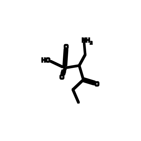 CCC(=O)C(CN)S(=O)(=O)O